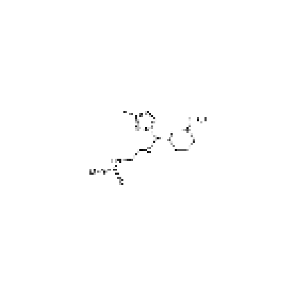 COC(=O)NCCOC(c1nc(C)cs1)C1CCCN(C(=O)O)C1